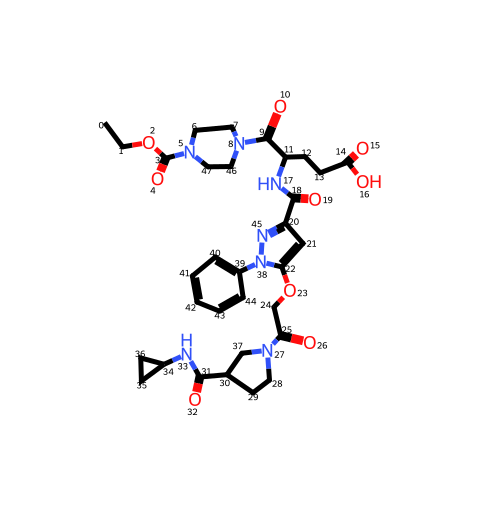 CCOC(=O)N1CCN(C(=O)C(CCC(=O)O)NC(=O)c2cc(OCC(=O)N3CCC(C(=O)NC4CC4)C3)n(-c3ccccc3)n2)CC1